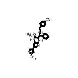 Cl.Cl.Cn1cc(-c2cnc3c(c2)NC(=O)[C@@H]([C@@H](NCCc2ccc(C#N)cc2)c2ccccc2)N3)cn1